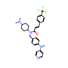 CN(c1ccncc1)c1ccc(CN(C(=O)C=Cc2ccc(C(F)(F)F)cc2)C2CCC(N(C)C)CC2)cc1